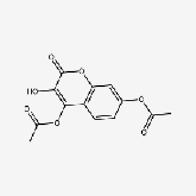 CC(=O)Oc1ccc2c(OC(C)=O)c(O)c(=O)oc2c1